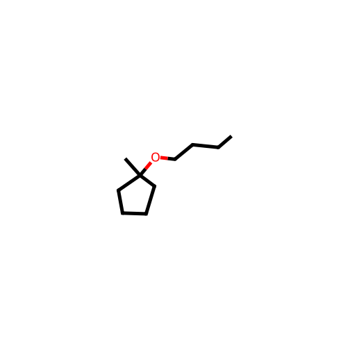 CCCCOC1(C)CCCC1